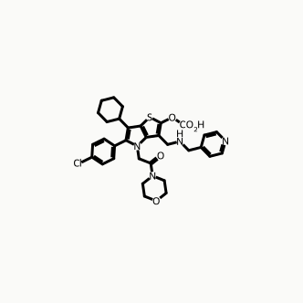 O=C(O)Oc1sc2c(C3CCCCC3)c(-c3ccc(Cl)cc3)n(CC(=O)N3CCOCC3)c2c1CNCc1ccncc1